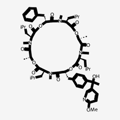 COc1ccc(C(C)(O)c2ccc(C[C@H]3OC(=O)[C@H](CC(C)C)N(C)C(=O)[C@@H](C)OC(=O)[C@H](CC(C)C)N(C)C(=O)[C@@H](Cc4ccccc4)OC(=O)[C@H](CC(C)C)N(C)C(=O)[C@@H](C)OC(=O)[C@H](CC(C)C)N(C)C3=O)cc2)cn1